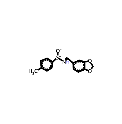 Cc1ccc([S+]([O-])/N=C/c2ccc3c(c2)OCO3)cc1